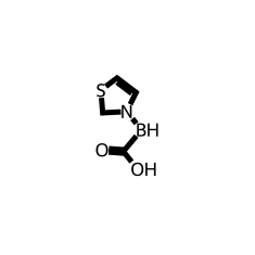 O=C(O)BN1C=CSC1